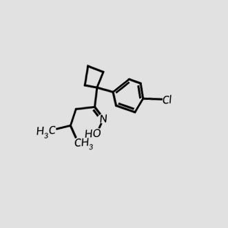 CC(C)CC(=NO)C1(c2ccc(Cl)cc2)CCC1